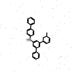 CC1C=CC=C(c2cc(Nc3ccc(-c4ccccc4)cc3)cc(-c3ccccc3)c2)C1